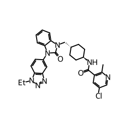 CCn1nnc2cc(-n3c(=O)n(C[C@H]4CC[C@H](NC(=O)c5cc(Cl)cnc5C)CC4)c4ccccc43)ccc21